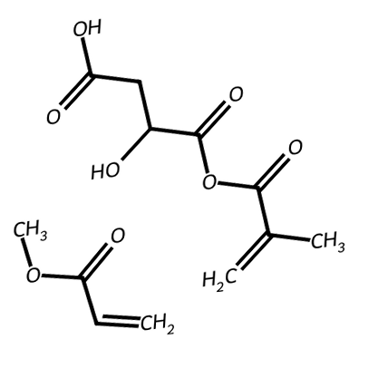 C=C(C)C(=O)OC(=O)C(O)CC(=O)O.C=CC(=O)OC